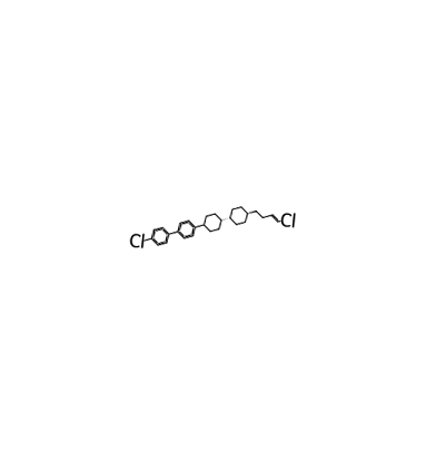 Cl/C=C/CC[C@H]1CC[C@H](C2CCC(c3ccc(-c4ccc(Cl)cc4)cc3)CC2)CC1